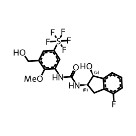 COc1c(CO)cc(S(F)(F)(F)(F)F)cc1NC(=O)N[C@@H]1Cc2c(F)cccc2[C@@H]1O